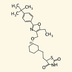 CCc1oc(-c2ccc(C(C)(C)C)cc2)nc1CO[C@H]1CCCC(CCC2SC(=O)NC2=O)C1